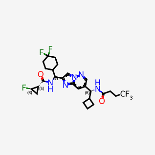 O=C(CCC(F)(F)F)N[C@@H](c1cnn2cc([C@@H](NC(=O)[C@@H]3C[C@H]3F)C3CCC(F)(F)CC3)nc2c1)C1CCC1